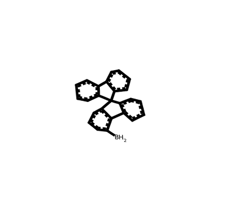 Bc1cccc2c1-c1ccccc1C21c2ccccc2-c2ccccc21